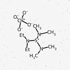 CCN(CC)[S+](N(C)C)N(C)C.[O-][Cl+3]([O-])([O-])[O-]